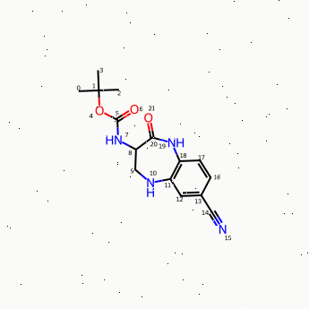 CC(C)(C)OC(=O)NC1CNc2cc(C#N)ccc2NC1=O